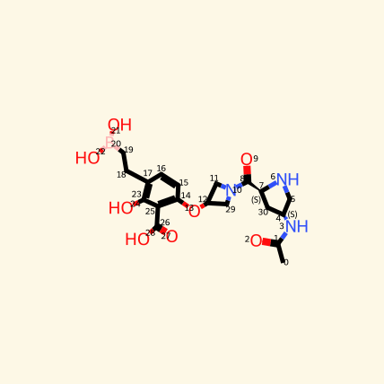 CC(=O)N[C@@H]1CN[C@H](C(=O)N2CC(Oc3ccc(CCB(O)O)c(O)c3C(=O)O)C2)C1